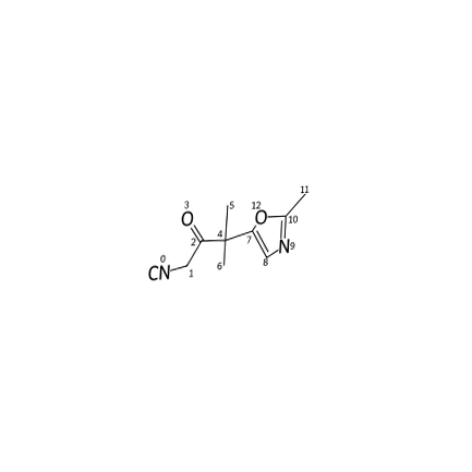 [C-]#[N+]CC(=O)C(C)(C)c1cnc(C)o1